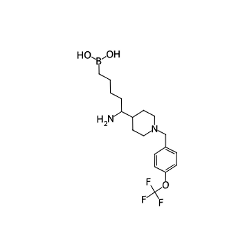 NC(CCCCB(O)O)C1CCN(Cc2ccc(OC(F)(F)F)cc2)CC1